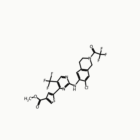 COC(=O)c1csc(-c2nc(Nc3cc4c(cc3Cl)CN(C(=O)C(F)(F)F)CC4)ncc2C(F)(F)F)c1